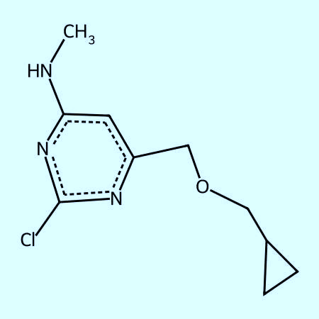 CNc1cc(COCC2CC2)nc(Cl)n1